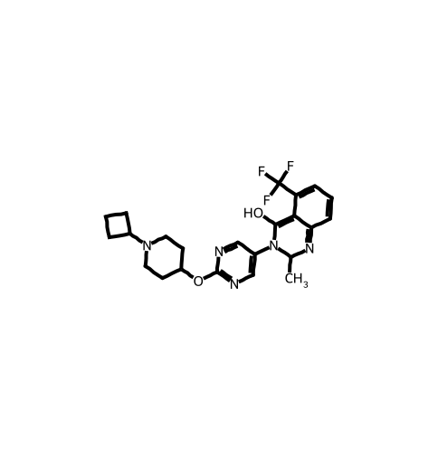 CC1N=c2cccc(C(F)(F)F)c2=C(O)N1c1cnc(OC2CCN(C3CCC3)CC2)nc1